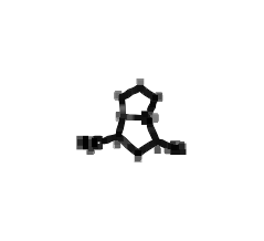 CCC1CC(C)C2CCCN12